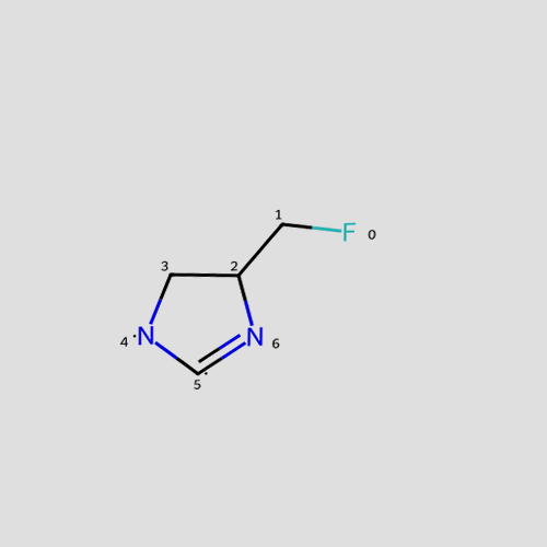 FCC1C[N][C]=N1